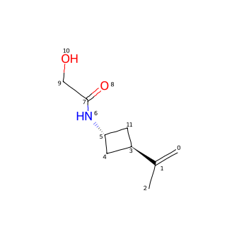 C=C(C)[C@H]1C[C@H](NC(=O)CO)C1